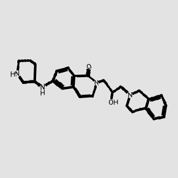 O=C1c2ccc(NC3CCCNC3)cc2CCN1CC(O)CN1CCc2ccccc2C1